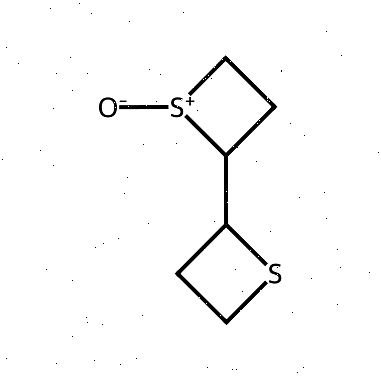 [O-][S+]1CCC1C1CCS1